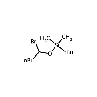 CCCCC(Br)O[Si](C)(C)C(C)(C)C